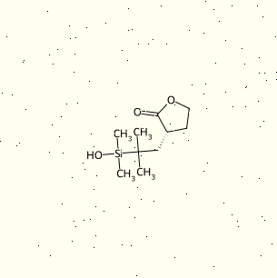 CC(C)(C[C@H]1CCOC1=O)[Si](C)(C)O